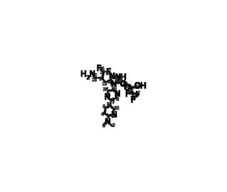 CN(C)c1ccc(-c2cnc(-n3c(CC(CN)=C(F)F)n[nH]c3=O)cn2)cn1.O=C(O)C(F)(F)F